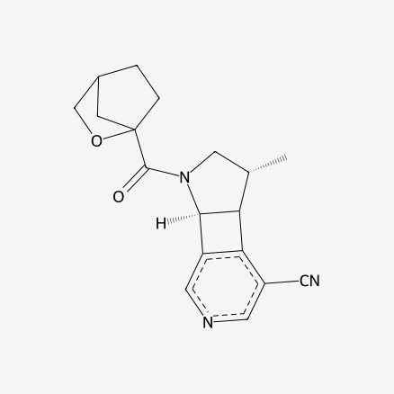 C[C@H]1CN(C(=O)C23CCC(CO2)C3)[C@@H]2c3cncc(C#N)c3C21